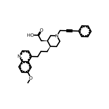 COc1ccc2nccc(CCC[C@@H]3CCN(CC#Cc4ccccc4)C[C@@H]3CC(=O)O)c2c1